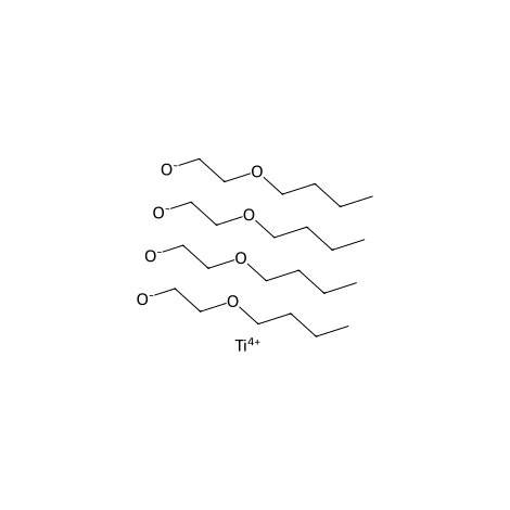 CCCCOCC[O-].CCCCOCC[O-].CCCCOCC[O-].CCCCOCC[O-].[Ti+4]